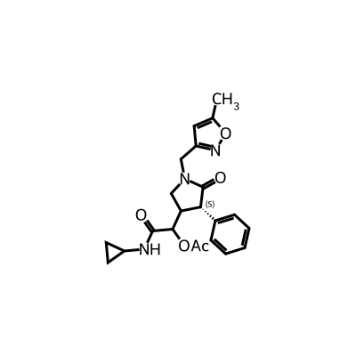 CC(=O)OC(C(=O)NC1CC1)C1CN(Cc2cc(C)on2)C(=O)[C@@H]1c1ccccc1